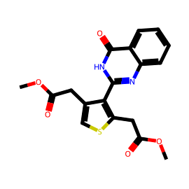 COC(=O)Cc1csc(CC(=O)OC)c1-c1nc2ccccc2c(=O)[nH]1